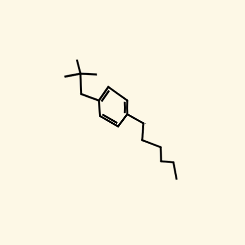 CCCCC[CH]c1ccc(CC(C)(C)C)cc1